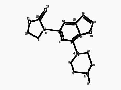 CN1CCN(c2nc(N3CCOC3=O)cc3ccoc23)CC1